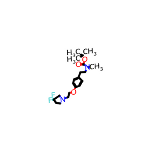 CN(CCc1ccc(OCCN2CCC(F)(F)C2)cc1)C(=O)OC(C)(C)C